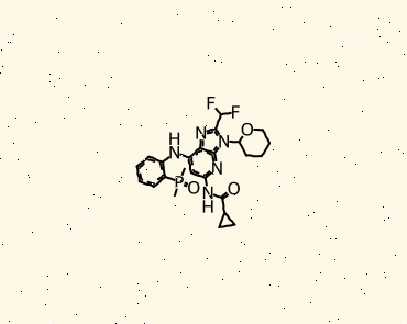 CP(C)(=O)c1ccccc1Nc1cc(NC(=O)C2CC2)nc2c1nc(C(F)F)n2C1CCCCO1